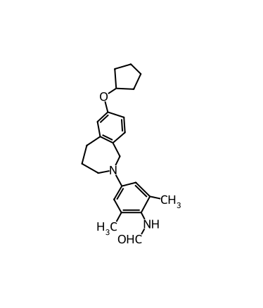 Cc1cc(N2CCCc3cc(OC4CCCC4)ccc3C2)cc(C)c1NC=O